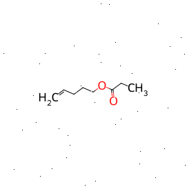 C=CCCCOC(=O)CC